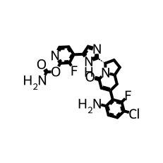 NC(=O)Oc1nccc(-c2cnc([C@@H]3CCC4CC(c5c(N)ccc(Cl)c5F)=CC(=O)N43)[nH]2)c1F